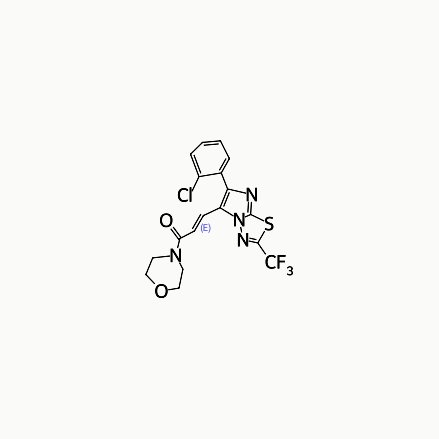 O=C(/C=C/c1c(-c2ccccc2Cl)nc2sc(C(F)(F)F)nn12)N1CCOCC1